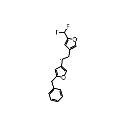 FC(F)c1cc(C[CH]c2coc(Cc3ccccc3)c2)co1